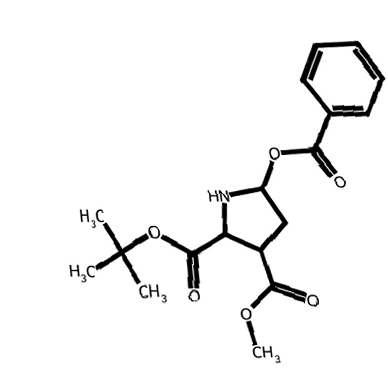 COC(=O)C1CC(OC(=O)c2ccccc2)NC1C(=O)OC(C)(C)C